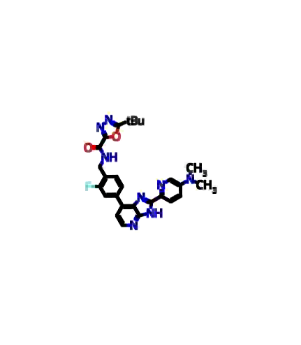 CN(C)c1ccc(-c2nc3c(-c4ccc(CNC(=O)c5nnc(C(C)(C)C)o5)c(F)c4)ccnc3[nH]2)nc1